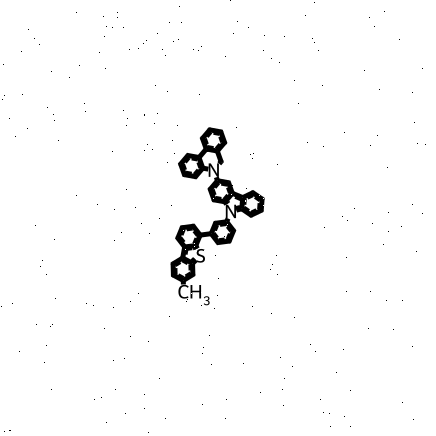 Cc1ccc2c(c1)sc1c(-c3cccc(-n4c5ccccc5c5cc(N6Cc7ccccc7-c7ccccc76)ccc54)c3)cccc12